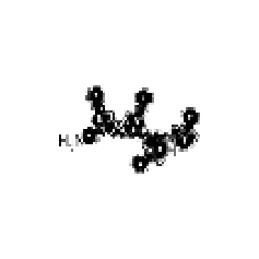 Nc1ccc(CCN(CCCN(CCCCN(CCCNC(=O)c2cccc(=O)n2OCc2ccccc2)C(=O)c2cccc(=O)n2OCc2ccccc2)C(=O)c2cccn(OCc3ccccc3)c2=O)C(=O)c2cccn(OCc3ccccc3)c2=O)cc1